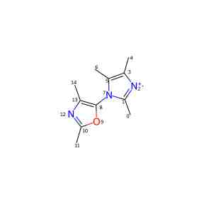 CC1=[N+]C(C)=C(C)N1c1oc(C)nc1C